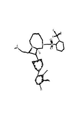 CNCC1C(c2ccc(-c3ccc(F)c(C)c3C)cc2)[C@@H]2CN(S(=O)(=O)C3CCCC[C@@H]3C(F)(F)F)CCCCN12